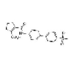 CS(=O)(=O)c1ccc(-c2ccc(NC(=O)C3=C(C(=O)O)CCC3)cc2)cc1